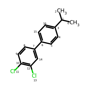 CC(C)c1ccc(-c2ccc(Cl)c(Cl)c2)cc1